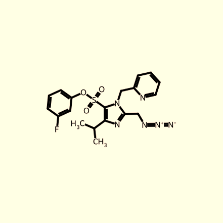 CC(C)c1nc(CN=[N+]=[N-])n(Cc2ccccn2)c1S(=O)(=O)Oc1cccc(F)c1